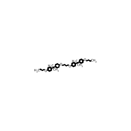 C=CCCOc1ccc(C(C)(C)C2=CCC(OCCCCOc3ccc(C(C)(C)c4ccc(OCCC=C)cc4)cc3)C=C2)cc1